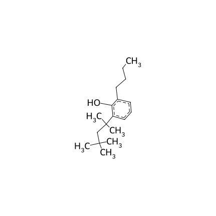 CCCCc1cccc(C(C)(C)CC(C)(C)C)c1O